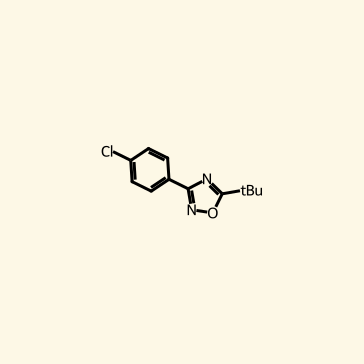 CC(C)(C)c1nc(-c2ccc(Cl)cc2)no1